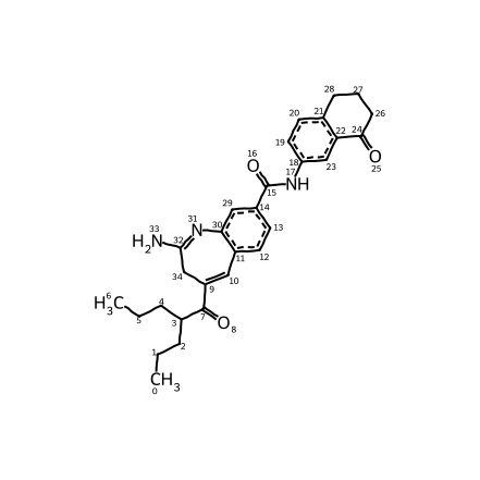 CCCC(CCC)C(=O)C1=Cc2ccc(C(=O)Nc3ccc4c(c3)C(=O)CCC4)cc2N=C(N)C1